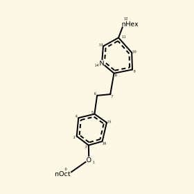 CCCCCCCCOc1ccc(CCc2ccc(CCCCCC)cn2)cc1